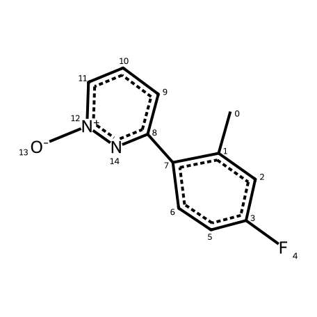 Cc1cc(F)ccc1-c1ccc[n+]([O-])n1